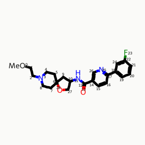 COCCN1CCC2(CC1)CC(NC(=O)c1ccc(-c3cccc(F)c3)nc1)CO2